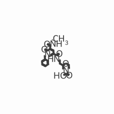 CCNC(=O)c1cc(C(=O)NCCC2CN(C(=O)O)CCO2)cn(Cc2ccccc2)c1=O